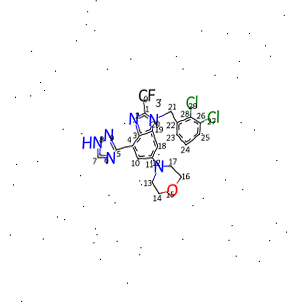 FC(F)(F)c1nc2c(-c3nc[nH]n3)cc(N3CCOCC3)cc2n1Cc1cccc(Cl)c1Cl